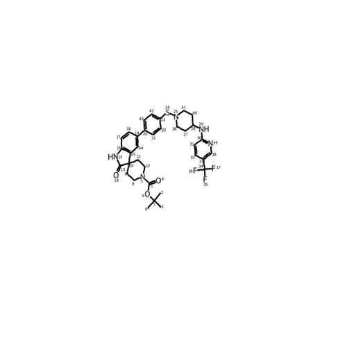 CC(C)(C)OC(=O)N1CCC2(CC1)C(=O)Nc1ccc(-c3ccc(SN4CCC(Nc5ccc(C(F)(F)F)cn5)CC4)cc3)cc12